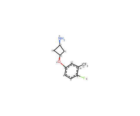 N[C@H]1C[C@@H](Oc2ccc(F)c(C(F)(F)F)c2)C1